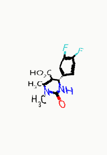 CC1=C(C(=O)O)[C@H](c2ccc(F)c(F)c2)NC(=O)N1C